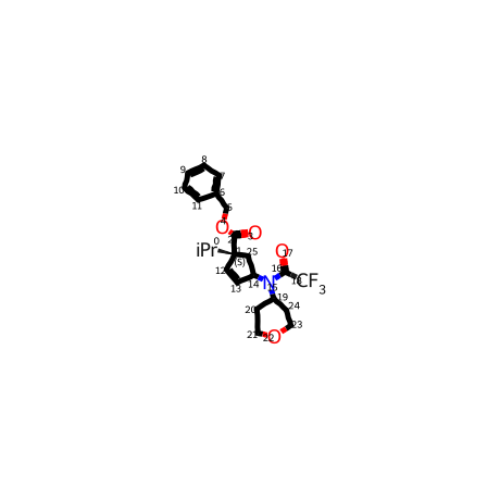 CC(C)[C@]1(C(=O)OCc2ccccc2)C=CC(N(C(=O)C(F)(F)F)C2CCOCC2)C1